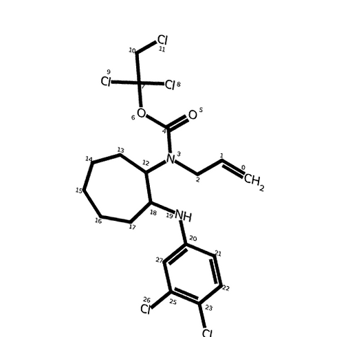 C=CCN(C(=O)OC(Cl)(Cl)CCl)C1CCCCCC1Nc1ccc(Cl)c(Cl)c1